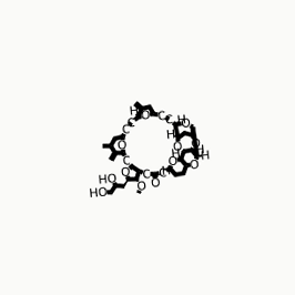 C=C1C(C)CC2CC[C@@H]3OC(CC[C@H]4OC5C6C[C@H]4OC4[C@H]7O[C@H](CCC7O[C@@H]5[C@H]4O6)CC(=O)CC4C(CC1O2)O[C@H](CC(O)CO)[C@@H]4OC)CC3=C